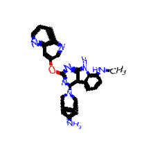 CNc1cccc2c1[nH]c1nc(Oc3cnc4cccnc4c3)nc(N3CC4C(N)C4C3)c12